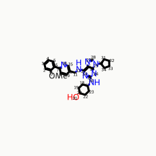 COc1ccccc1-c1ccc(CNc2nc(NC3CCC(O)CC3)nc3c2ncn3C2CCCC2)cn1